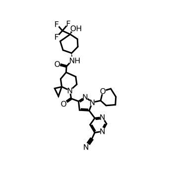 N#Cc1cc(-c2cc(C(=O)N3CCC(C(=O)N[C@H]4CC[C@@](O)(C(F)(F)F)CC4)CC34CC4)nn2C2CCCCO2)ncn1